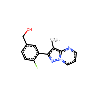 CCOC(=O)c1c(-c2cc(CO)ccc2F)nn2cccnc12